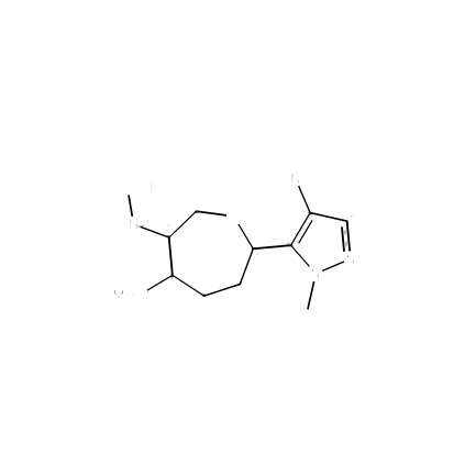 COC1CCC(c2c([N+](=O)[O-])cnn2C)OCC1NC(=O)O